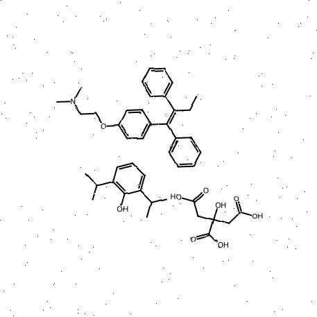 CC(C)c1cccc(C(C)C)c1O.CC/C(=C(\c1ccccc1)c1ccc(OCCN(C)C)cc1)c1ccccc1.O=C(O)CC(O)(CC(=O)O)C(=O)O